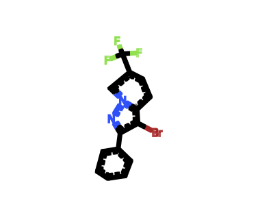 FC(F)(F)c1ccc2c(Br)c(-c3ccccc3)nn2c1